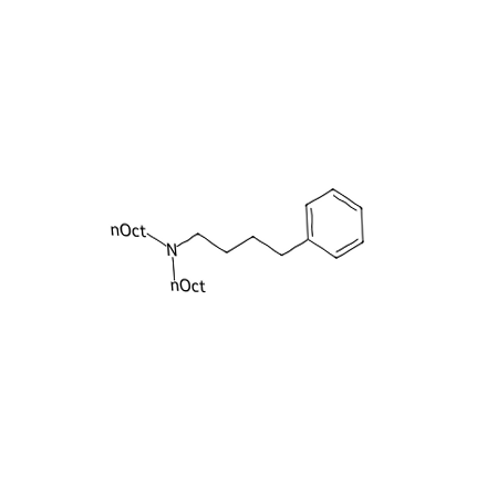 CCCCCCCCN(CCCCCCCC)CCCCc1ccccc1